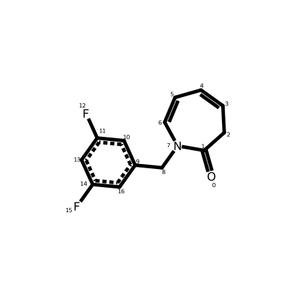 O=C1CC=CC=CN1Cc1cc(F)cc(F)c1